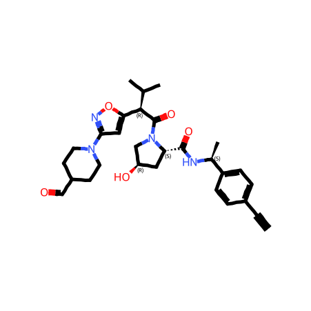 C#Cc1ccc([C@H](C)NC(=O)[C@@H]2C[C@@H](O)CN2C(=O)[C@@H](c2cc(N3CCC(C=O)CC3)no2)C(C)C)cc1